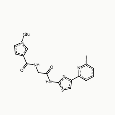 Cc1cccc(-c2csc(NC(=O)CNC(=O)c3ccn(C(C)(C)C)c3)n2)n1